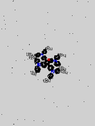 CC(C)(C)c1ccc(N(C2=CC=C(c3c4cc(N(c5ccc(C(C)(C)C)cc5)c5ccc(C(C)(C)C)cc5)ccc4c(-c4ccc(N(c5ccc(C(C)(C)C)cc5)c5ccc(C(C)(C)C)cc5)cc4)c4cc(N(c5ccc(C(C)(C)C)cc5)c5ccc(C(C)(C)C)cc5)ccc34)CC2)c2ccc(C(C)(C)C)cc2)cc1